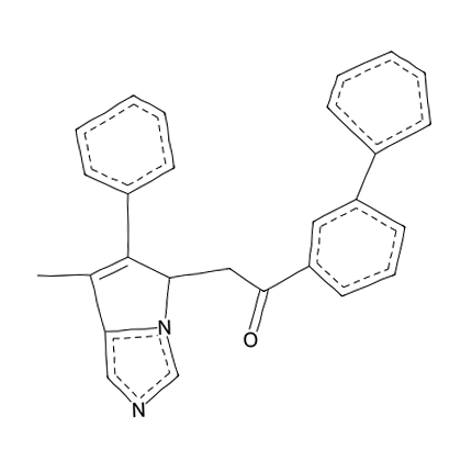 CC1=C(c2ccccc2)C(CC(=O)c2cccc(-c3ccccc3)c2)n2cncc21